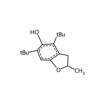 CC1Cc2c(cc(C(C)(C)C)c(O)c2C(C)(C)C)O1